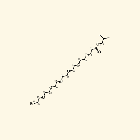 CC(C)COC(=O)CCOCCOCCOCCOCCOCCOCCBr